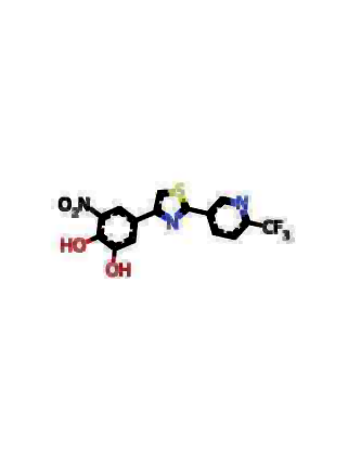 O=[N+]([O-])c1cc(-c2csc(-c3ccc(C(F)(F)F)nc3)n2)cc(O)c1O